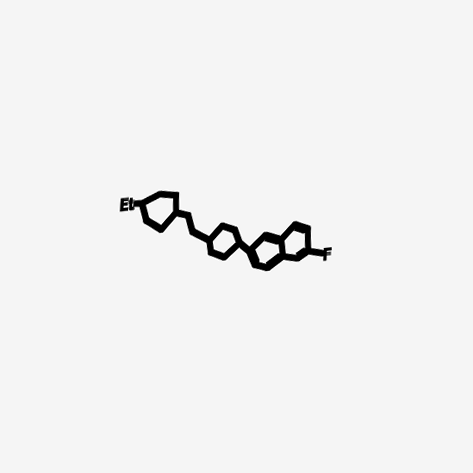 CCC1CCC(CCC2CCC(c3ccc4cc(F)ccc4c3)CC2)CC1